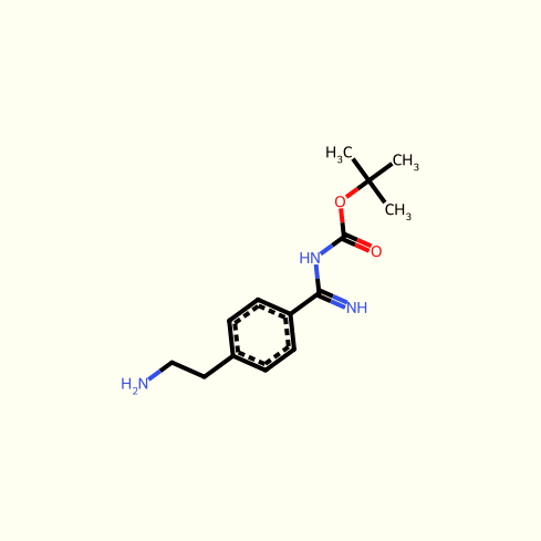 CC(C)(C)OC(=O)NC(=N)c1ccc(CCN)cc1